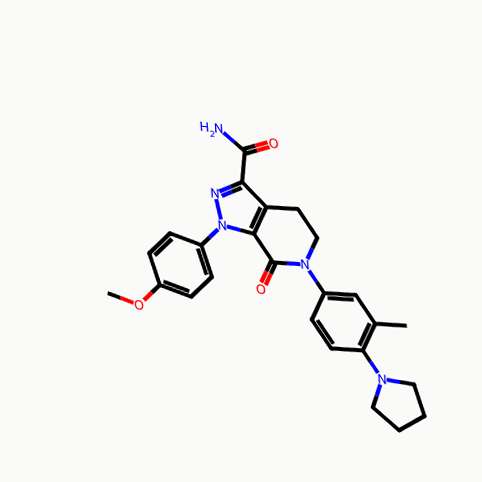 COc1ccc(-n2nc(C(N)=O)c3c2C(=O)N(c2ccc(N4CCCC4)c(C)c2)CC3)cc1